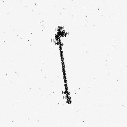 CC1CCCC(C)N1CC(=O)NCCC(=O)NCCOCCOCCOCCOCCOCCOCCOCCOCCOCCOCCOCCOCCC(=O)NCCCc1cn([C@@H]2O[C@H](COP(=O)(O)O)C(OP(=O)(O)O)[C@@H]2O)c(=O)nc1N